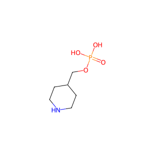 O=P(O)(O)OCC1CCNCC1